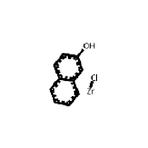 Oc1ccc2ccccc2c1.[Cl][Zr]